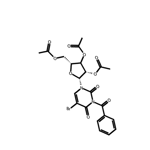 CC(=O)OC[C@H]1O[C@@H](n2cc(Br)c(=O)n(C(=O)c3ccccc3)c2=O)[C@@H](OC(C)=O)C1OC(C)=O